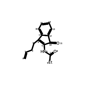 C=CCCC1=C(NC(=O)CC)C(=O)c2ccccc21